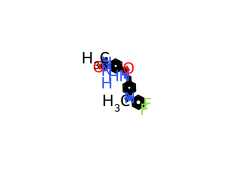 CN(c1ccc(CNC(=O)c2ccc3c(c2)[nH]c(=O)n3C)cc1)C1CCC(F)(F)CC1